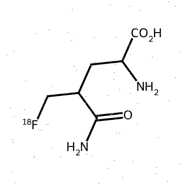 NC(=O)C(C[18F])CC(N)C(=O)O